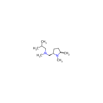 C=C1CC[C@H](CN(C)CC(C)C)N1C